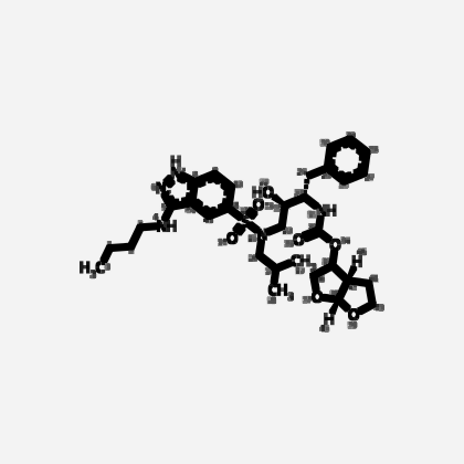 CCCCNc1n[nH]c2ccc(S(=O)(=O)N(CC(C)C)C[C@@H](O)[C@H](Cc3ccccc3)NC(=O)OC3CO[C@H]4OCC[C@@H]34)cc12